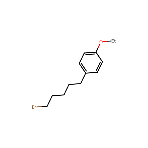 CCOc1ccc(CCCCCBr)cc1